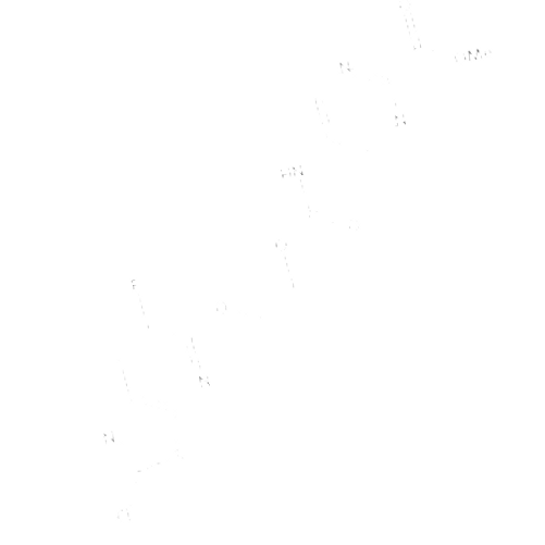 COC(=O)c1ncc(NC(=O)O[C@H](C)COc2nc3sc(Cl)nc3cc2F)cn1